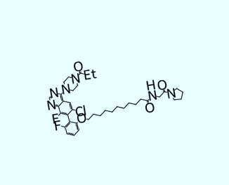 CCC(=O)N1CCN(c2ncnc3c(F)c(-c4c(F)cccc4OCCCCCCCCCCC(=O)NCC(=O)N4CCCC4)c(Cl)cc23)CC1